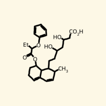 CCC(Oc1ccccc1)C(=O)OC1CCC=C2C=CC(C)C(CCC(O)CC(O)CC(=O)O)C21